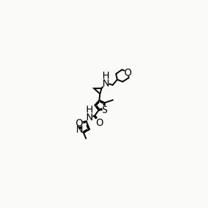 Cc1cc(NC(=O)c2cc(C3CC3NCC3CCOCC3)c(C)s2)on1